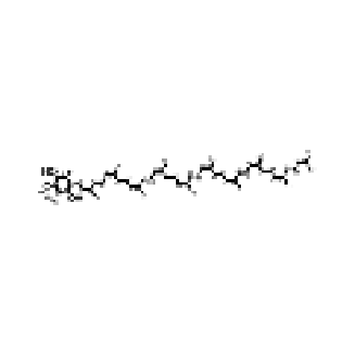 COc1c(O)c(C)c(CC=C(C)C=CC=C(C)CCC=C(C)CCC=C(C)CCC=C(C)CCC=C(C)CCC=C(C)CCC=C(C)CCC=C(C)CCCC(C)C)c(O)c1OC